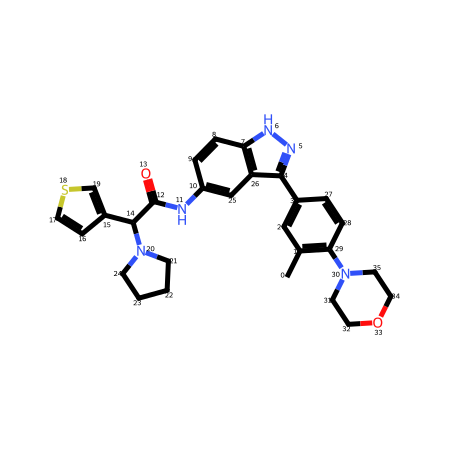 Cc1cc(-c2n[nH]c3ccc(NC(=O)C(c4ccsc4)N4CCCC4)cc23)ccc1N1CCOCC1